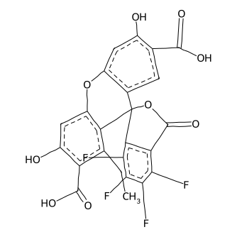 CCc1c(C(=O)O)c(O)cc2c1C1(OC(=O)c3c(F)c(F)c(F)c(F)c31)c1cc(C(=O)O)c(O)cc1O2